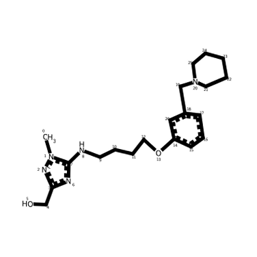 Cn1nc(CO)nc1NCCCCOc1cccc(CN2CCCCC2)c1